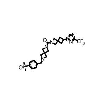 CP(C)(=O)c1ccc(CN2CC3(C2)CN(C(=O)N2CC4(CC(n5cnc(C(F)(F)F)n5)C4)C2)C3)cc1